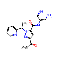 CNC(=O)c1cc(C(=O)N/C(C=N)=C/N)n(C(C)c2ccccn2)n1